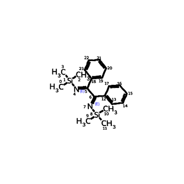 C[Si](C)(C)/N=C(/C(=N/[Si](C)(C)C)c1ccccc1)c1ccccc1